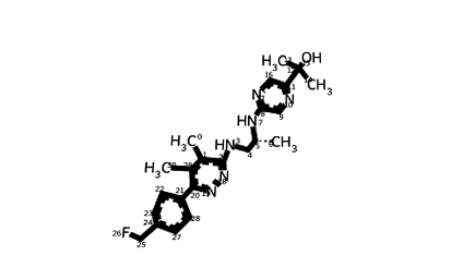 Cc1c(NC[C@@H](C)Nc2cnc(C(C)(C)O)cn2)nnc(-c2ccc(CF)cc2)c1C